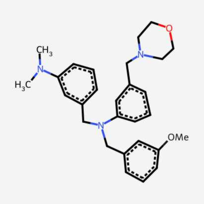 COc1cccc(CN(Cc2cccc(N(C)C)c2)c2cccc(CN3CCOCC3)c2)c1